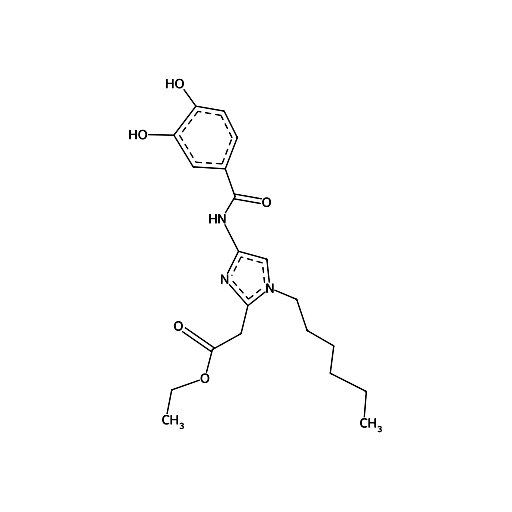 CCCCCCn1cc(NC(=O)c2ccc(O)c(O)c2)nc1CC(=O)OCC